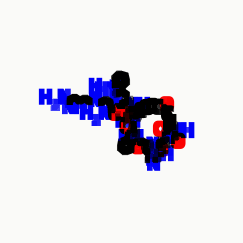 C[C@@H]1C(=O)N[C@@H](Cc2cnc[nH]2)C(=O)N[C@H](Cc2ccccc2)C(=O)N[C@H](C(=O)N[C@@H](Cc2c[nH]c3ccccc23)C(=O)NC(CCNCCCCC(=N)N)C(N)=O)CCCCC(=O)CC[C@@H]2NC(=O)N1C2=O